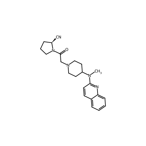 CN(c1ccc2ccccc2n1)C1CCN(CC(=O)N2CCC[C@H]2C#N)CC1